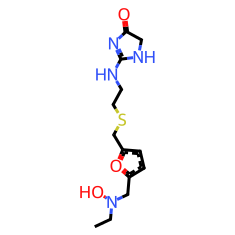 CCN(O)Cc1ccc(CSCCNC2=NC(=O)CN2)o1